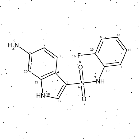 Nc1ccc2c(S(=O)(=O)Nc3ccccc3F)c[nH]c2c1